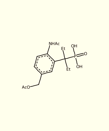 CCC(CC)(c1cc(COC(C)=O)ccc1NC(C)=O)P(=O)(O)O